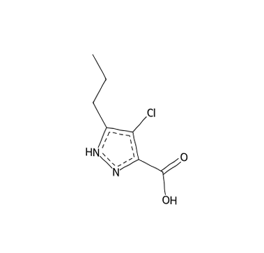 CCCc1[nH]nc(C(=O)O)c1Cl